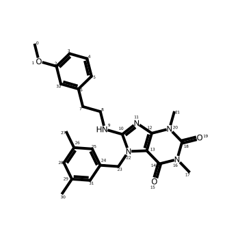 COc1cccc(CCNc2nc3c(c(=O)n(C)c(=O)n3C)n2Cc2cc(C)cc(C)c2)c1